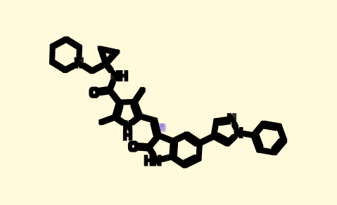 Cc1[nH]c(/C=C2\C(=O)Nc3ccc(-c4cnn(-c5ccccc5)c4)cc32)c(C)c1C(=O)NC1(CN2CCCCC2)CC1